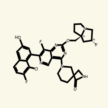 O=C1NCC12CCCN(c1nc(OC[C@@]34CCCN3C[C@H](F)C4)nc3c(F)c(-c4cc(O)cc5ccc(F)c(Cl)c45)ncc13)C2